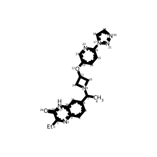 CCc1nc2ccc(C(C)N3CC(Oc4ccc(-n5ccnn5)nc4)C3)cc2[nH]c1=O